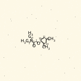 CCN(CC)C(=O)COc1ccc(C)cc1C